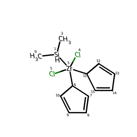 C[SiH](C)[Zr]([Cl])([Cl])([CH]1C=CC=C1)[CH]1C=CC=C1